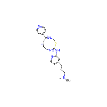 CCC(C)N(C)CCCc1ccnc(N/C2=N/C/C=C\C(c3ccncc3)=N/CS2)c1